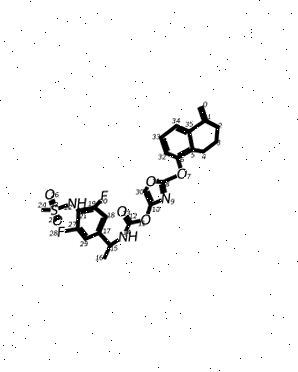 C=C1CCCc2c(Oc3nc(OC(=O)NC(C)c4cc(F)c(NS(C)(=O)=O)c(F)c4)co3)cccc21